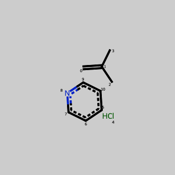 C=C(C)C.Cl.c1ccncc1